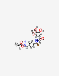 COc1cc(C(=O)c2csc(-c3ccc(CNOC(=O)C(C)(C)C)cc3)n2)cc(OC)c1OC